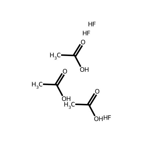 CC(=O)O.CC(=O)O.CC(=O)O.F.F.F